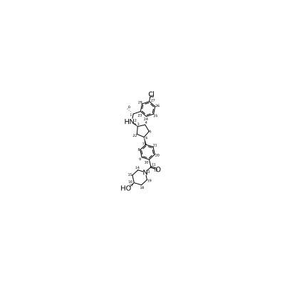 C[C@@H](N[C@H]1CC[C@@H](c2ccc(C(=O)N3CCC(O)CC3)cc2)C1)c1cccc(Cl)c1